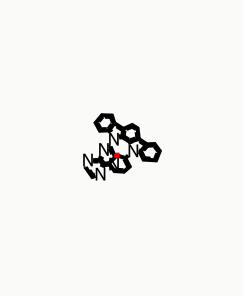 C1=CCCC(n2c3ccccc3c3ccc4c5ccccc5n(-c5cnc6nccnc6n5)c4c32)=C1